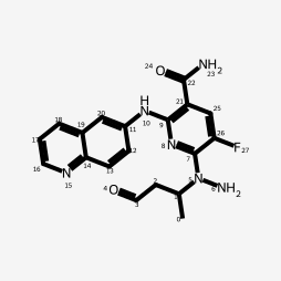 CC(CC=O)N(N)c1nc(Nc2ccc3ncccc3c2)c(C(N)=O)cc1F